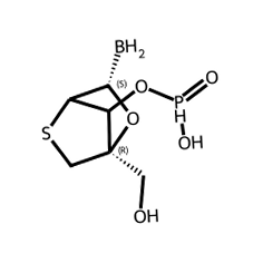 B[C@@H]1O[C@@]2(CO)CSC1C2O[PH](=O)O